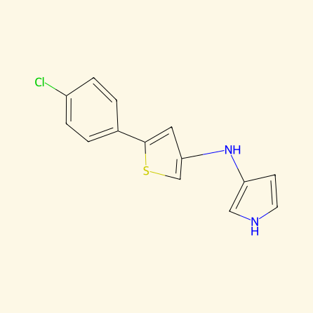 Clc1ccc(-c2cc(Nc3cc[nH]c3)cs2)cc1